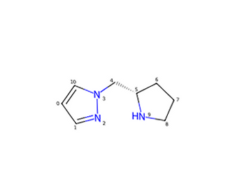 c1cnn(C[C@@H]2CCCN2)c1